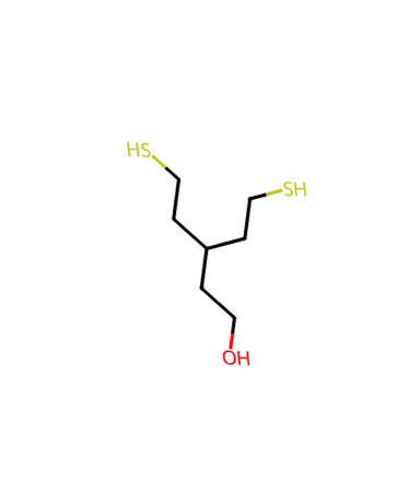 OCCC(CCS)CCS